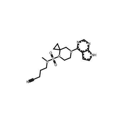 CN(CCCC#N)S(=O)(=O)N1CCN(c2ncnc3[nH]ccc23)CC12CC2